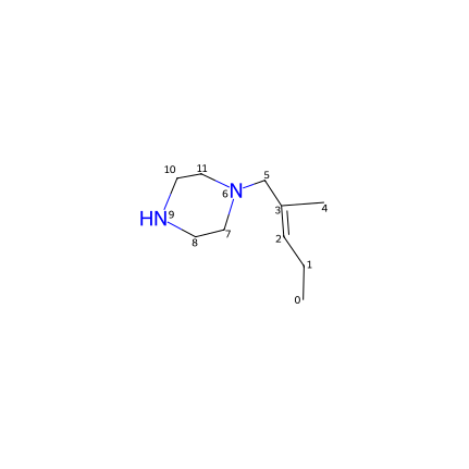 CCC=C(C)CN1CCNCC1